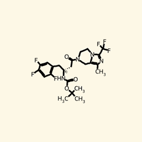 Cc1nc(C(F)(F)F)n2c1CN(C(=O)C[C@@H](Cc1cc(F)c(F)cc1F)NC(=O)OC(C)(C)C)CC2